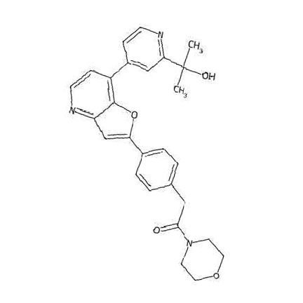 CC(C)(O)c1cc(-c2ccnc3cc(-c4ccc(CC(=O)N5CCOCC5)cc4)oc23)ccn1